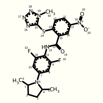 CC1CCC(C)N1c1cc(F)c(NC(=O)c2cc([N+](=O)[O-])ccc2Sc2nnnn2C)c(F)c1